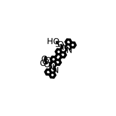 COS(=O)(=O)OC1=c2ccc3c4ccc5c6c(ccc(c7ccc(c2c73)C2=Nc3cccc7cccc(c37)N21)c64)C1=Nc2cccc3cccc(c23)N1C=5OSO